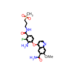 COc1cc2nccc(Oc3ccc(C(=O)NCCCS(C)(=O)=O)c(F)c3N)c2cc1C(N)=O